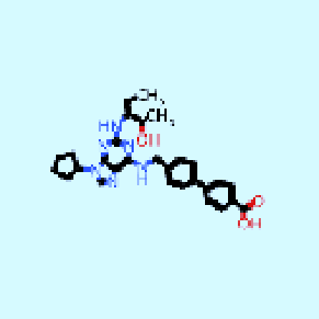 CCC(Nc1nc(NCc2ccc(-c3ccc(C(=O)O)cc3)cc2)c2ncn(C3CCCC3)c2n1)[C@@H](C)O